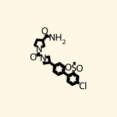 CS(=O)(=O)c1cc(Cl)ccc1-c1ccc(C2CN(C(=O)N3CCC(C(N)=O)C3)C2)cc1